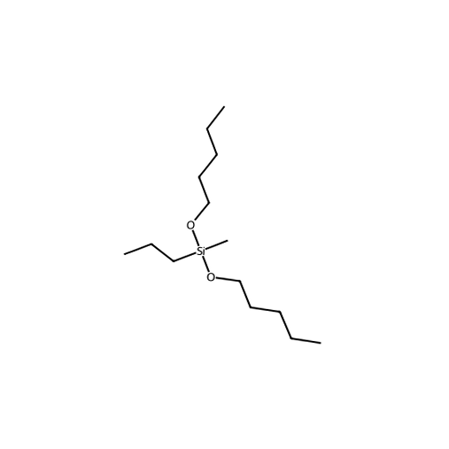 CCCCCO[Si](C)(CCC)OCCCCC